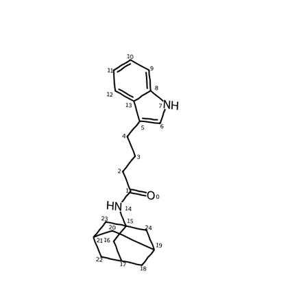 O=C(CCCc1c[nH]c2ccccc12)NC12CC3CC(CC(C3)C1)C2